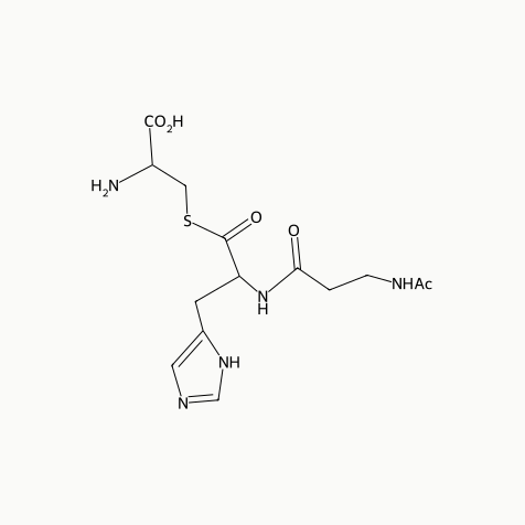 CC(=O)NCCC(=O)NC(Cc1cnc[nH]1)C(=O)SCC(N)C(=O)O